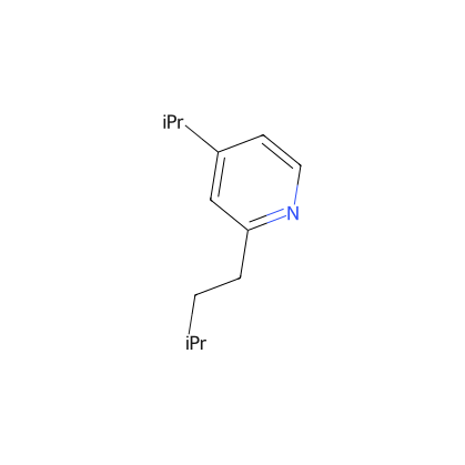 CC(C)CCc1cc(C(C)C)ccn1